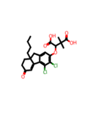 CCCCC12CCC(=O)C=C1c1c(cc(OC(C(=O)O)C(C)(C)C(=O)O)c(Cl)c1Cl)C2